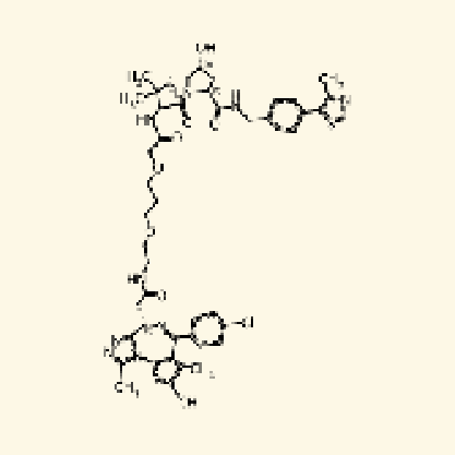 Cc1ncsc1-c1ccc(CNC(=O)[C@@H]2C[C@@H](O)CN2C(=O)C(NC(=O)COCCCOCCNC(=O)C[C@@H]2N=C(c3ccc(Cl)cc3)c3c(sc(C)c3C)-n3c(C)nnc32)C(C)(C)C)cc1